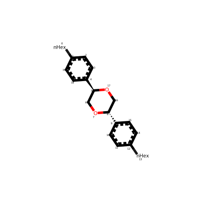 CCCCCCc1ccc([C@@H]2CO[C@@H](c3ccc(CCCCCC)cc3)CO2)cc1